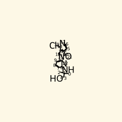 CC(C)(CO)Nc1cccc(N2Cc3c(ccnc3Cl)C2=O)n1